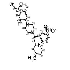 CC1CCN(c2ccc([N+](=O)[O-])cc2C(=O)N2CCN(c3ccc(C(C)C=O)cc3F)CC2)CC1